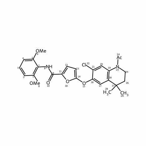 COc1cccc(OC)c1NC(=O)c1ccc(Oc2cc3c(cc2Cl)N(C(C)=O)CCC3(C)C)o1